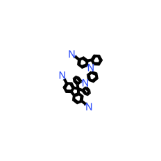 N#Cc1ccc2c(c1)C1(c3cc(C#N)ccc3-2)c2ccccc2N(c2cccc(-n3c4ccccc4c4cc(C#N)ccc43)c2)c2ccccc21